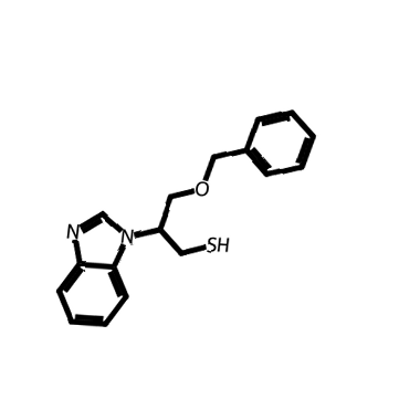 SCC(COCc1ccccc1)n1cnc2ccccc21